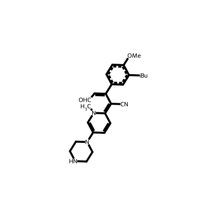 CCC(C)c1cc(C(=C/C=O)/C(C#N)=C2/C=CC(N3CCNCC3)=CN2C)ccc1OC